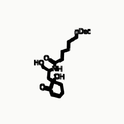 CCCCCCCCCCCCCCCC(=O)NC(CO)CC1(O)CCC=CC1=O